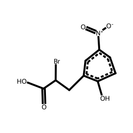 O=C(O)C(Br)Cc1cc([N+](=O)[O-])ccc1O